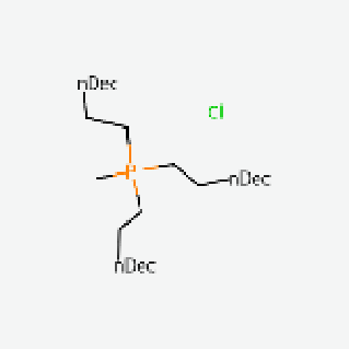 CCCCCCCCCCCC[P+](C)(CCCCCCCCCCCC)CCCCCCCCCCCC.[Cl-]